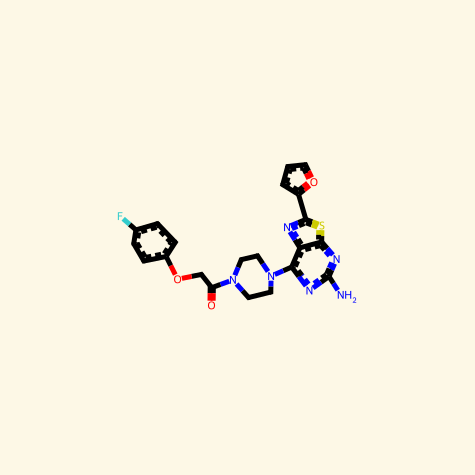 Nc1nc(N2CCN(C(=O)COc3ccc(F)cc3)CC2)c2nc(-c3ccco3)sc2n1